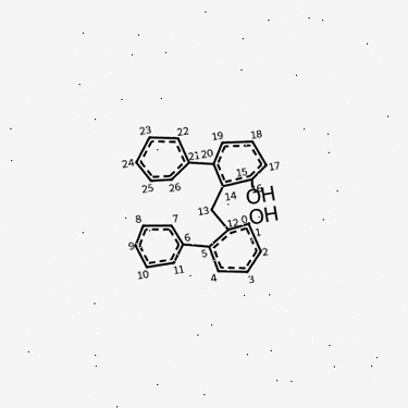 Oc1cccc(-c2ccccc2)c1Cc1c(O)cccc1-c1ccccc1